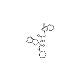 O=C(Cc1c[nH]c2ccccc12)NC1(C(=O)OC2CCCCC2)Cc2ccccc2C1